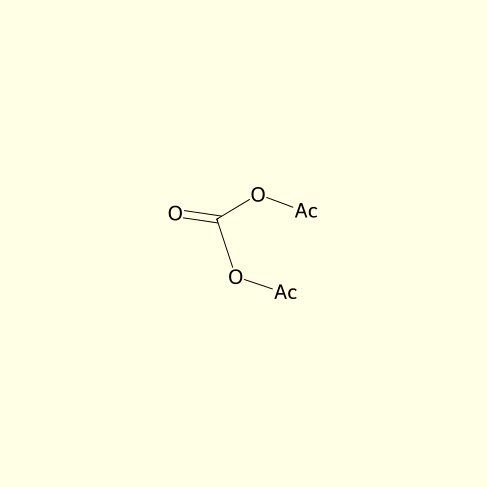 O=C([O][Ac])[O][Ac]